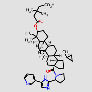 CC(C)(CC(=O)O)CC(=O)O[C@H]1CC[C@]2(C)[C@H]3CC[C@@H]4[C@H]5[C@H](C6(C)CC6)CC[C@]5(C(=O)N5CCCC5c5ncc(-c6cccnc6)[nH]5)CC[C@@]4(C)[C@]3(C)CC[C@H]2C1(C)C